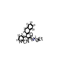 CCO/C=N/C1=C(C#N)C(c2cccnc2)C2=C(O1)c1ccccc1CC2